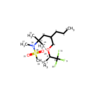 CCCC(CO[C@H](C)C(F)(F)F)CC(C)(C)N(C)S(C)(=O)=O